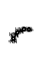 CNc1cc(F)c(-c2nc3cc(-c4nc5cc(N6CCN(C)CC6)ccc5[nH]4)ccc3[nH]2)cc1F